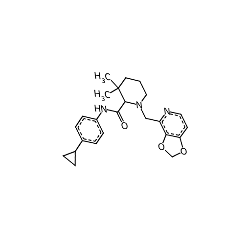 CC1(C)CCCN(Cc2nccc3c2OCO3)C1C(=O)Nc1ccc(C2CC2)cc1